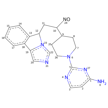 Nc1ccnc(N2CCC(C(CC3c4ccccc4-c4cncn43)N=O)CC2)n1